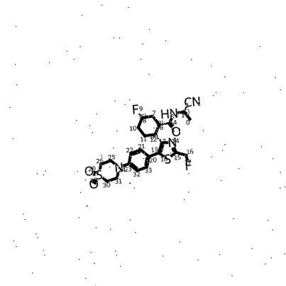 C[C@@H](C#N)NC(=O)[C@@H]1C[C@@H](F)CC[C@H]1c1nc(CF)sc1-c1ccc(N2CCS(=O)(=O)CC2)cc1